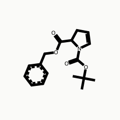 CC(C)(C)OC(=O)N1C=CCC1C(=O)OCc1ccccc1